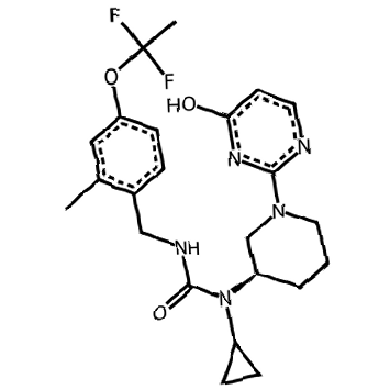 Cc1cc(OC(C)(F)F)ccc1CNC(=O)N(C1CC1)[C@@H]1CCCN(c2nccc(O)n2)C1